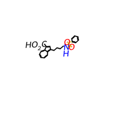 O=C(O)c1cc(CCCCNS(=O)(=O)c2ccccc2)c2cccccc1-2